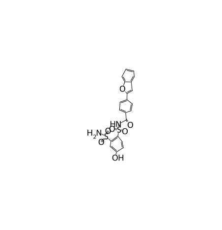 NS(=O)(=O)c1cc(O)ccc1S(=O)(=O)NC(=O)c1ccc(-c2cc3ccccc3o2)cc1